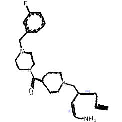 C=C/C=C(\C=C/N)CN1CCC(C(=O)N2CCN(Cc3cccc(F)c3)CC2)CC1